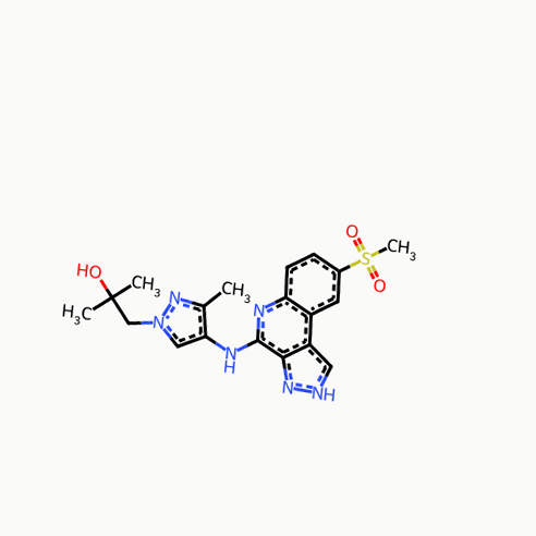 Cc1nn(CC(C)(C)O)cc1Nc1nc2ccc(S(C)(=O)=O)cc2c2c[nH]nc12